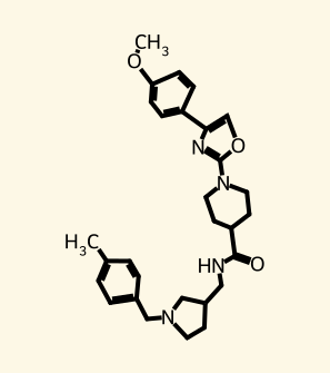 COc1ccc(-c2coc(N3CCC(C(=O)NCC4CCN(Cc5ccc(C)cc5)C4)CC3)n2)cc1